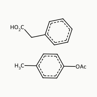 CC(=O)Oc1ccc(C)cc1.O=C(O)Cc1ccccc1